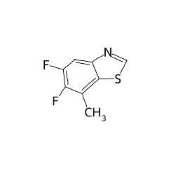 Cc1c(F)c(F)cc2ncsc12